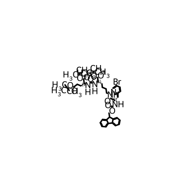 CC(C)(C)OC(=O)CC[C@H](NC(=O)N[C@@H](CCCCNC(=O)[C@H](Cc1ccc(Br)cn1)NC(=O)OCC1c2ccccc2-c2ccccc21)C(=O)OC(C)(C)C)C(=O)OC(C)(C)C